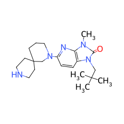 Cn1c(=O)n(CC(C)(C)C)c2ccc(N3CCCC4(CCNCC4)C3)nc21